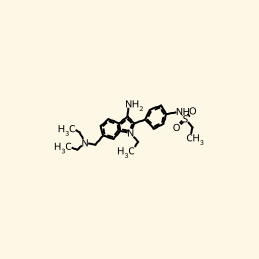 CCN(CC)Cc1ccc2c(N)c(-c3ccc(NS(=O)(=O)CC)cc3)n(CC)c2c1